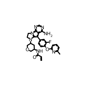 C=CC(=O)NC1COCC(N2CCn3c2c(-c2ccc(Oc4cccc(C)n4)c(F)c2)c2c(N)ncnc23)C1